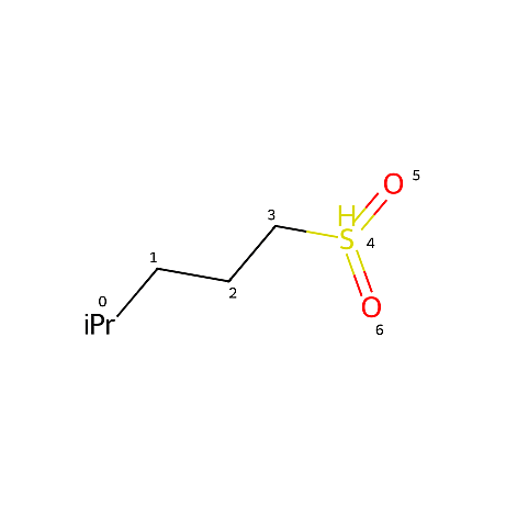 CC(C)CCC[SH](=O)=O